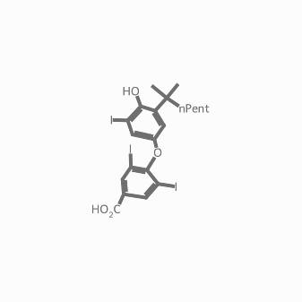 CCCCCC(C)(C)c1cc(Oc2c(I)cc(C(=O)O)cc2I)cc(I)c1O